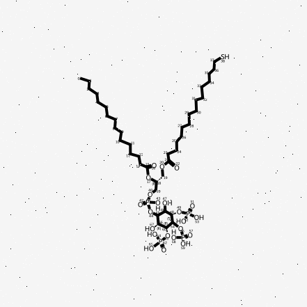 CCCCCCCCCCCCCCCC(=O)O[C@H](COC(=O)CCCCCCCCCCCCCCCS)COP(=O)(O)OC1C(O)[C@H](OP(=O)(O)O)C(OP(=O)(O)O)[C@H](OP(=O)(O)O)[C@@H]1O